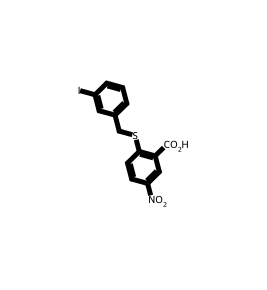 O=C(O)c1cc([N+](=O)[O-])ccc1SCc1cccc(I)c1